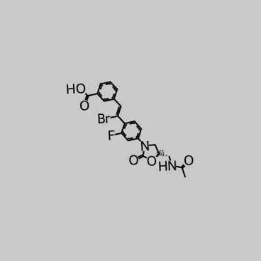 CC(=O)NC[C@H]1CN(c2ccc(C(Br)=Cc3cccc(C(=O)O)c3)c(F)c2)C(=O)O1